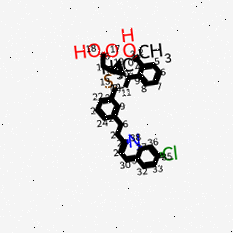 CC(C)(O)c1ccccc1CC[C@@H](SC1(CC(=O)O)CC1)c1cccc(CCc2ccc3ccc(Cl)cc3n2)c1